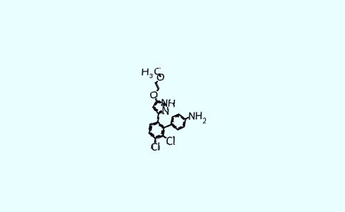 COCCOc1cc(-c2ccc(Cl)c(Cl)c2-c2ccc(N)cc2)n[nH]1